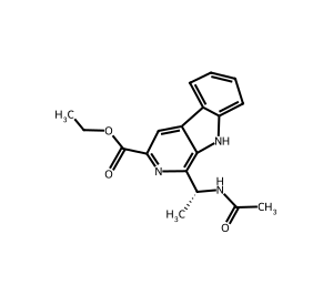 CCOC(=O)c1cc2c([nH]c3ccccc32)c([C@@H](C)NC(C)=O)n1